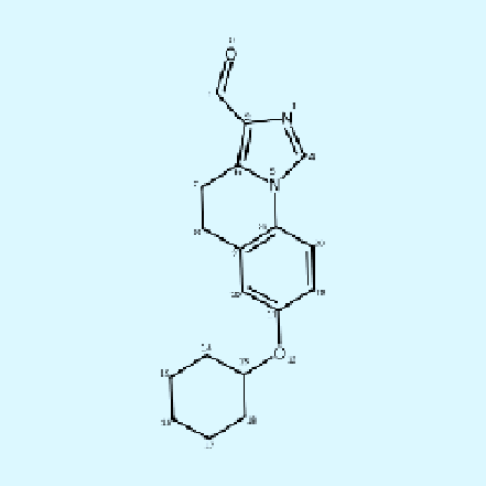 O=Cc1ncn2c1CCc1cc(OC3CCCCC3)ccc1-2